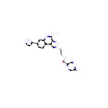 Cc1cnc(C(=O)NCCn2cc3c(n2)c(N)nc2cc(-c4cc[nH]n4)ccc23)cn1